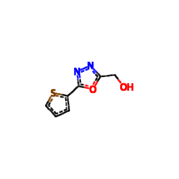 OCc1nnc(-c2cccs2)o1